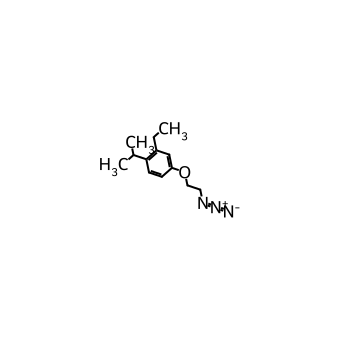 CCc1cc(OCCN=[N+]=[N-])ccc1C(C)C